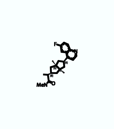 CNC(=O)C(C)[C@H]1C[C@]2(C)C[C@H](c3ccnc4ccc(F)cc34)C[C@]2(C)C1